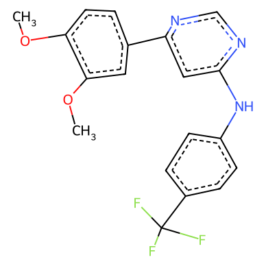 COc1ccc(-c2cc(Nc3ccc(C(F)(F)F)cc3)ncn2)cc1OC